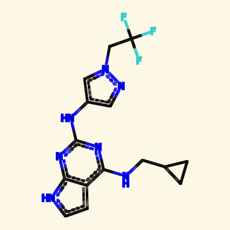 FC(F)(F)Cn1cc(Nc2nc(NCC3CC3)c3cc[nH]c3n2)cn1